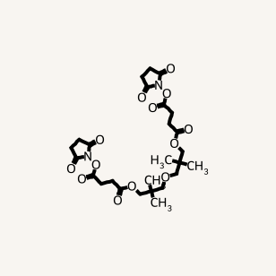 CC(C)(COCC(C)(C)COC(=O)CCC(=O)ON1C(=O)CCC1=O)COC(=O)CCC(=O)ON1C(=O)CCC1=O